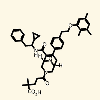 Cc1cc(C)c(C)c(OCCc2ccc(C3=C(C(=O)NC(Cc4ccccc4)C4CC4)[C@H]4CN(C(=O)CCC(C)(C)C(=O)O)C[C@@H](C3)N4)cc2)c1